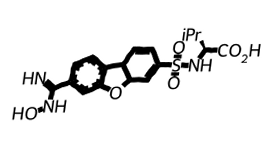 CC(C)[C@H](NS(=O)(=O)C1=CC2Oc3cc(C(=N)NO)ccc3C2C=C1)C(=O)O